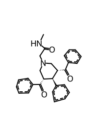 CNC(=O)CN1C[C@H](C(=O)c2ccccc2)[C@@H](c2ccccc2)[C@H](C(=O)c2ccccc2)C1